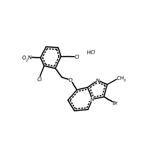 Cc1nc2c(OCc3c(Cl)ccc([N+](=O)[O-])c3Cl)cccn2c1Br.Cl